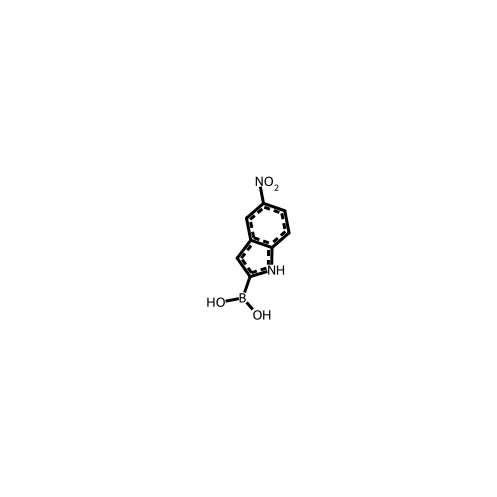 O=[N+]([O-])c1ccc2[nH]c(B(O)O)cc2c1